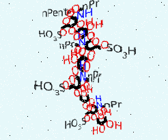 CCCCCO[C@@H]1OC(COS(=O)(=O)O)[C@@H](O[C@H]2C[C@H](O)[C@@H](O[C@@H]3OC(COS(=O)(=O)O)[C@@H](O[C@H]4C[C@H](O)[C@@H](O[C@@H]5OC(COS(=O)(=O)O)[C@@H](O[C@H]6C[C@H](O)[C@@H](O[C@@H]7OC(COS(=O)(=O)O)[C@@H](O[C@H]8C[C@H](O)[C@H](O)CO8)[C@H](O)C7NC(=O)CCC)CO6)[C@H](O)C5NC(=O)CCC)CO4)[C@H](O)C3NC(=O)CCC)CO2)[C@H](O)C1NC(=O)CCC